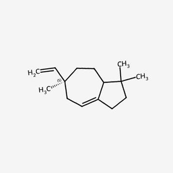 C=C[C@]1(C)CC=C2CCC(C)(C)C2CC1